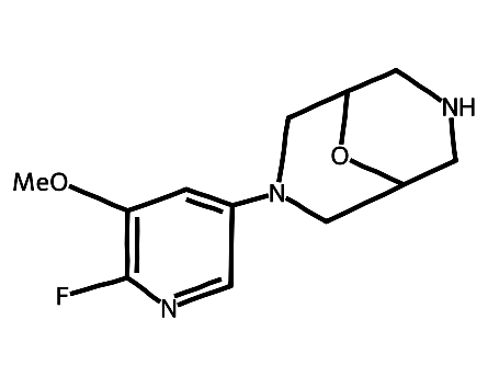 COc1cc(N2CC3CNCC(C2)O3)cnc1F